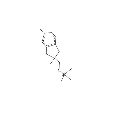 Cc1ccc2c(c1)CC(C)(CO[Si](C)(C)C)C2